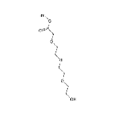 CC(C)OC(=O)COCCOCCOCCO